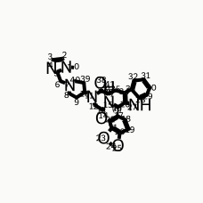 Cn1ccnc1CN1CCC(N2CC(=O)N3[C@H](c4ccc5c(c4)OCO5)c4[nH]c5ccccc5c4C[C@@H]3C2=O)CC1